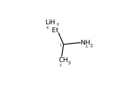 [CH2]CC(C)N.[LiH]